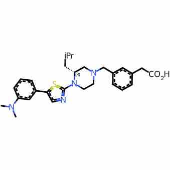 CC(C)C[C@@H]1CN(Cc2cccc(CC(=O)O)c2)CCN1c1ncc(-c2cccc(N(C)C)c2)s1